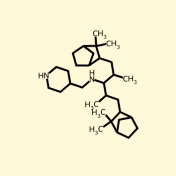 CC(CC1C2CCC(C2)C1(C)C)C(NCC1CCNCC1)C(C)CC1C2CCC(C2)C1(C)C